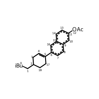 CCC(C)CC1CC=C(c2ccc3cc(OC(C)=O)ccc3c2)CC1